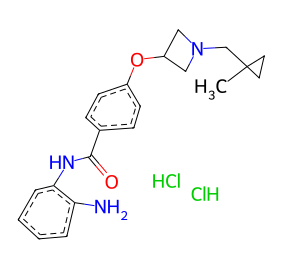 CC1(CN2CC(Oc3ccc(C(=O)Nc4ccccc4N)cc3)C2)CC1.Cl.Cl